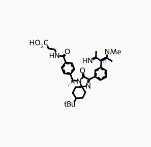 CN/C(C)=C(\C(C)=N)c1cccc(C2=NC3(CCC(C(C)(C)C)CC3)N([C@H](C)c3ccc(C(=O)NCCC(=O)O)cc3)C2=O)c1